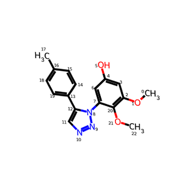 COc1cc(O)cc(-n2nncc2-c2ccc(C)cc2)c1OC